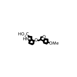 COc1ccc2c(c1)OCC2COc1cccc2[nH]c(C(=O)O)cc12